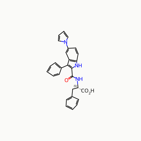 O=C(N[C@@H](Cc1ccccc1)C(=O)O)c1[nH]c2ccc(-n3cccc3)cc2c1-c1ccccc1